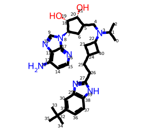 CC(C)N(CC1C[C@@H](n2cnc3c(N)ccnc32)[C@H](O)[C@@H]1O)C1CC(CCc2nc3cc(C(C)(C)C)ccc3[nH]2)C1